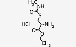 CCOC(=O)[C@@H](N)CSC(=O)NC.Cl